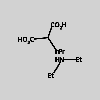 CCCC(C(=O)O)C(=O)O.CCNCC